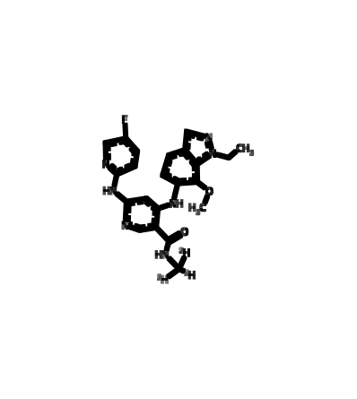 [2H]C([2H])([2H])NC(=O)c1cnc(Nc2ccc(F)cn2)cc1Nc1ccc2cnn(CC)c2c1OC